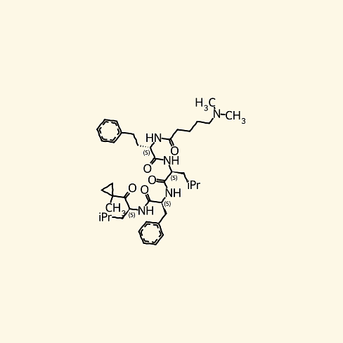 CC(C)C[C@H](NC(=O)[C@H](CCc1ccccc1)NC(=O)CCCCN(C)C)C(=O)N[C@@H](Cc1ccccc1)C(=O)N[C@@H](CC(C)C)C(=O)C1(C)CC1